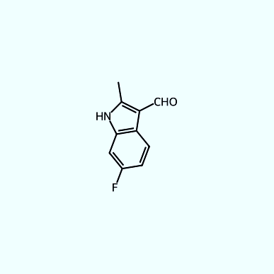 Cc1[nH]c2cc(F)ccc2c1C=O